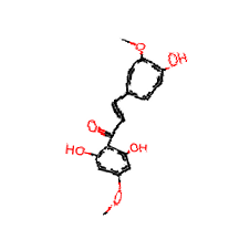 COc1cc(O)c(C(=O)C=Cc2ccc(O)c(OC)c2)c(O)c1